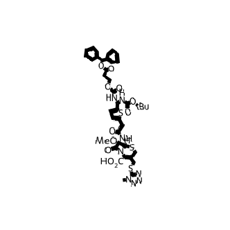 CO[C@@]1(NC(=O)Cc2ccc(C(NC(=O)OCCC(=O)OC(c3ccccc3)c3ccccc3)NC(=O)OC(C)(C)C)s2)C(=O)N2C(C(=O)O)=C(CSc3nnnn3C)CS[C@@H]21